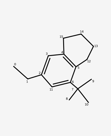 CCc1cc2c(c(C(C)(C)C)c1)CCCC2